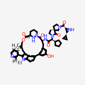 CCn1c(-c2cccnc2C(C)C)c2c3cc(ccc31)-c1cc(O)cc(c1)C[C@H](NC(=O)[C@H](C1CCCC1)N1CC[C@@]3(CCN(C(=O)[C@@H]4N[C@@H]4C4CC4)C3)C1=O)C(=O)N1CCC[C@H](N1)C(=O)OCC(C)(C)C2